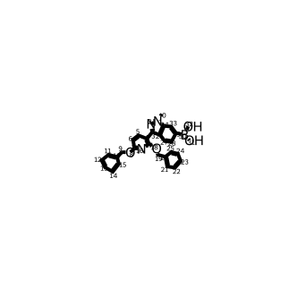 Cn1nc(-c2ccc(OCc3ccccc3)nc2OCc2ccccc2)c2ccc(B(O)O)cc21